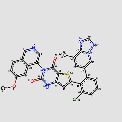 COc1ccc2cncc(-n3c(=O)[nH]c4cc(-c5c(Cl)cccc5-c5cc(C)c6ncnn6c5)sc4c3=O)c2c1